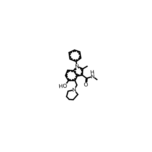 CNC(=O)c1c(C)n(-c2ccccc2)c2ccc(O)c(CN3CCCCC3)c12